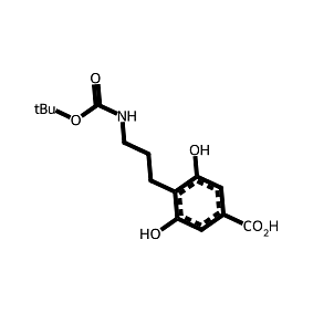 CC(C)(C)OC(=O)NCCCc1c(O)cc(C(=O)O)cc1O